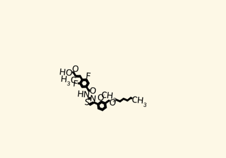 CCCCCCOCc1cccc(-c2csc(NC(=O)c3cc(F)c(C=C(C)C(=O)O)c(F)c3)n2)c1OC